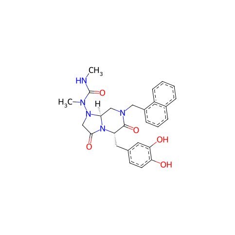 CNC(=O)N(C)N1CC(=O)N2[C@@H](Cc3ccc(O)c(O)c3)C(=O)N(Cc3cccc4ccccc34)C[C@@H]21